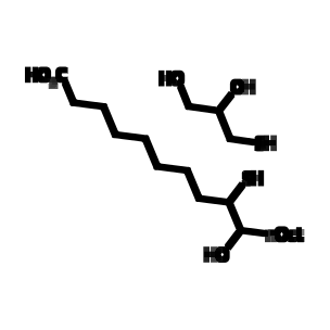 CCCCCCCCC(O)C(S)CCCCCCCC(=O)O.OCC(O)CS